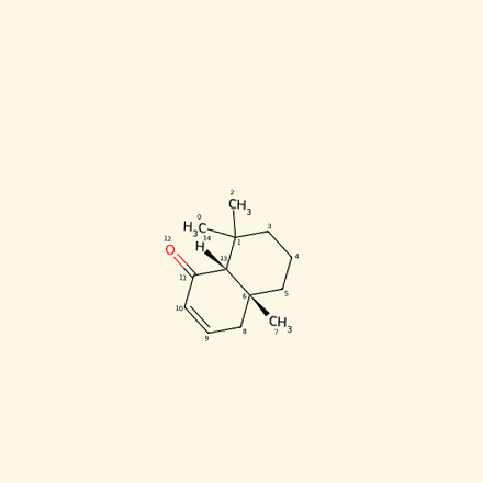 CC1(C)CCC[C@]2(C)CC=CC(=O)[C@H]12